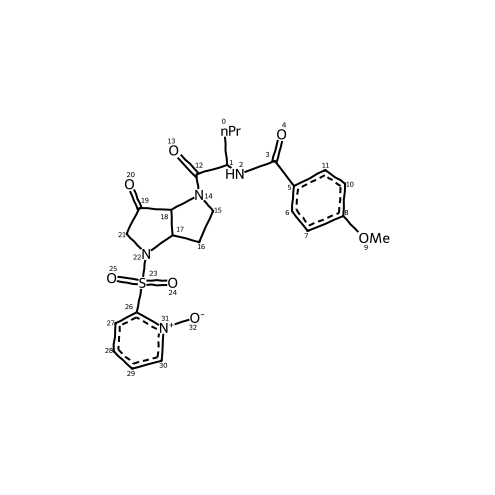 CCCC(NC(=O)c1ccc(OC)cc1)C(=O)N1CCC2C1C(=O)CN2S(=O)(=O)c1cccc[n+]1[O-]